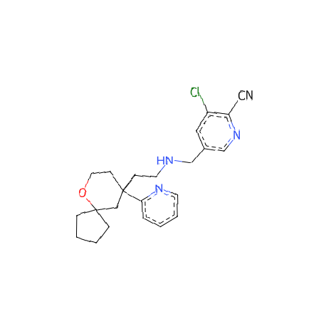 N#Cc1ncc(CNCCC2(c3ccccn3)CCOC3(CCCC3)C2)cc1Cl